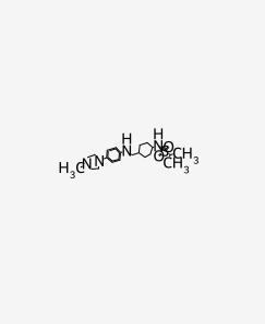 CC(C)S(=O)(=O)NC1CCC(CNc2ccc(N3CCN(C)CC3)cc2)CC1